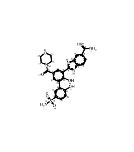 N=C(N)c1ccc2[nH]c(-c3cc(C(=O)N4CCOCC4)cc(-c4cc(S(N)(=O)=O)ccc4O)c3O)nc2c1